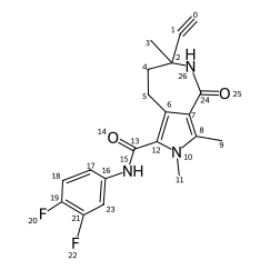 C#CC1(C)CCc2c(c(C)n(C)c2C(=O)Nc2ccc(F)c(F)c2)C(=O)N1